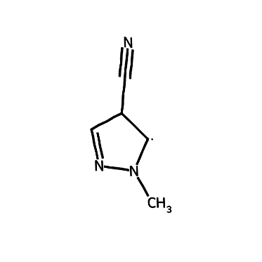 CN1[CH]C(C#N)C=N1